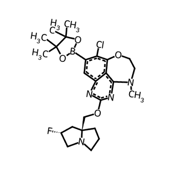 CN1CCOc2c(Cl)c(B3OC(C)(C)C(C)(C)O3)cc3nc(OC[C@@]45CCCN4C[C@H](F)C5)nc1c23